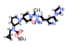 CC(n1cc(-c2cncc(-n3ccnc3)c2)nn1)n1ccc(N2CCC[C@@H](N(CC3CC3)C(=O)OC(C)(C)C)C2)cc1=O